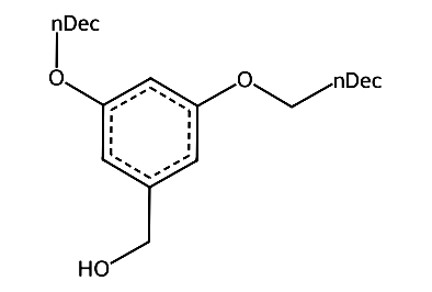 CCCCCCCCCCCOc1cc(CO)cc(OCCCCCCCCCC)c1